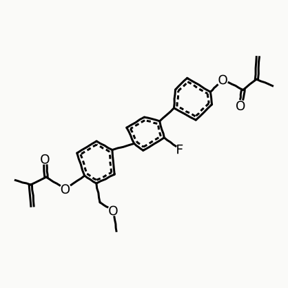 C=C(C)C(=O)Oc1ccc(-c2ccc(-c3ccc(OC(=O)C(=C)C)c(COC)c3)cc2F)cc1